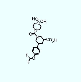 O=C(O)C1CC(c2ccc(OC(F)F)cc2)CN(C(=O)N2CCS(O)(O)CC2)C1